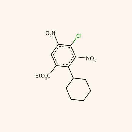 CCOC(=O)c1cc([N+](=O)[O-])c(Cl)c([N+](=O)[O-])c1C1CCCCC1